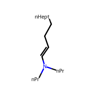 CCCCCCCCCC=CN(CCC)CCC